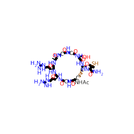 CC(=O)N[C@H]1CSSC[C@@H](C(=O)N[C@H](C(N)=O)C(C)(C)S)NC(=O)[C@H](CO)NC(=O)CNC(=O)CNC(=O)[C@H](C)NC(=O)[C@H](CCCNC(=N)N)NC(=O)[C@H](CCCNC(=N)N)NC(=O)CNC1=O